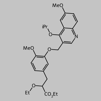 CCOC(=O)C(Cc1ccc(OC)c(OCc2cnc3ccc(OC)cc3c2OC(C)C)c1)OCC